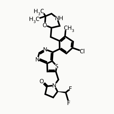 Cc1cc(Cl)cc(-c2ncnc3cc(CN4C(=O)CC[C@@H]4C(F)F)sc23)c1CC1CNCC(C)(C)O1